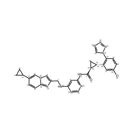 O=C(Nc1cc(NCc2cn3cc(C4CC4)ccc3n2)ncn1)[C@H]1C[C@@H]1c1cc(Cl)ccc1-n1cnnn1